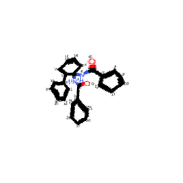 O=C(NC1(NC(=O)c2ccccc2)CC=CC=C1c1ccccc1)c1ccccc1